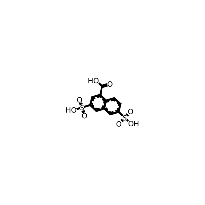 O=C(O)c1cc(S(=O)(=O)O)cc2cc(S(=O)(=O)O)ccc12